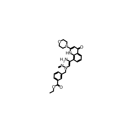 C=NN(/C=C(\N)c1cccc2c(=O)cc(N3CCOCC3)[nH]c12)Cc1cccc(C(=O)OCC)c1